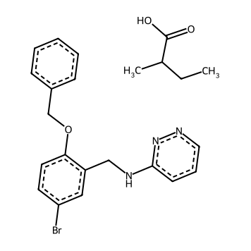 Brc1ccc(OCc2ccccc2)c(CNc2cccnn2)c1.CCC(C)C(=O)O